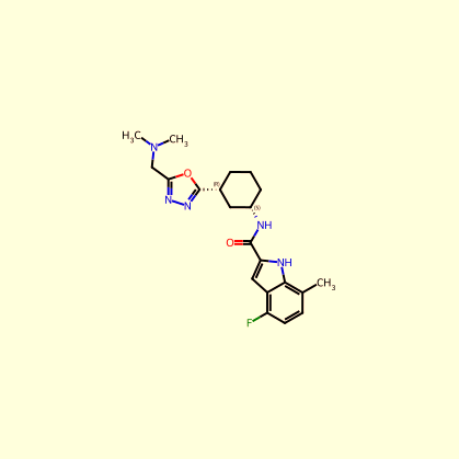 Cc1ccc(F)c2cc(C(=O)N[C@H]3CCC[C@@H](c4nnc(CN(C)C)o4)C3)[nH]c12